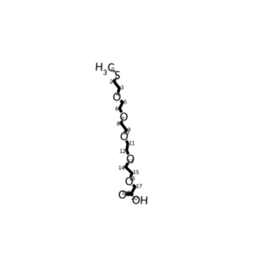 CSCCOCCOCCOCCOCCOCC(=O)O